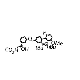 CCCCO[C@H](c1cc(COc2cccc([C@H](O)CC(=O)O)c2)ccc1-c1cc(OC)ccc1F)C(C)(C)C